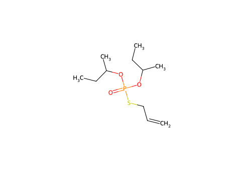 C=CCSP(=O)(OC(C)CC)OC(C)CC